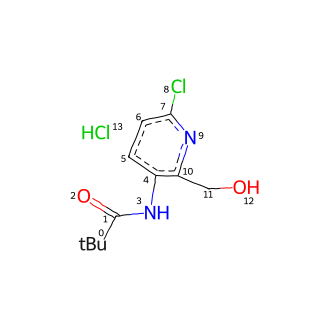 CC(C)(C)C(=O)Nc1ccc(Cl)nc1CO.Cl